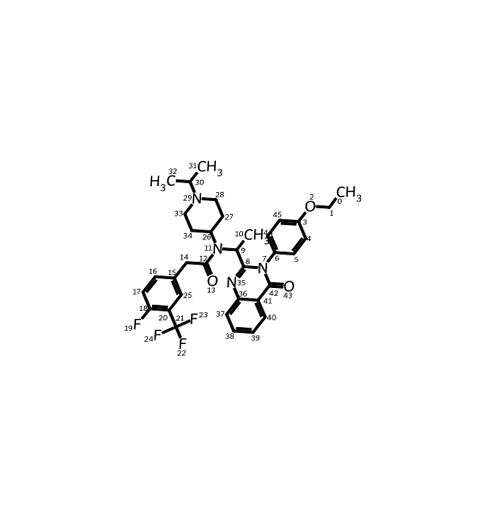 CCOc1ccc(-n2c(C(C)N(C(=O)Cc3ccc(F)c(C(F)(F)F)c3)C3CCN(C(C)C)CC3)nc3ccccc3c2=O)cc1